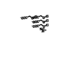 O=C([O-])COCl.O=C([O-])COCl.O=C([O-])COCl.O=C([O-])COCl.[Al+3].[Na+]